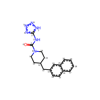 O=C(Nc1nnn[nH]1)N1CCC(Cc2ccc3ccccc3c2)CC1